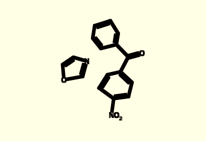 O=C(c1ccccc1)c1ccc([N+](=O)[O-])cc1.c1cocn1